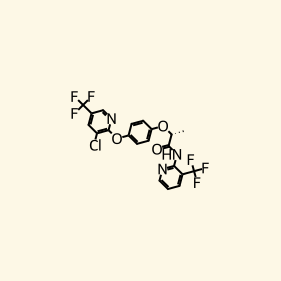 C[C@@H](Oc1ccc(Oc2ncc(C(F)(F)F)cc2Cl)cc1)C(=O)Nc1ncccc1C(F)(F)F